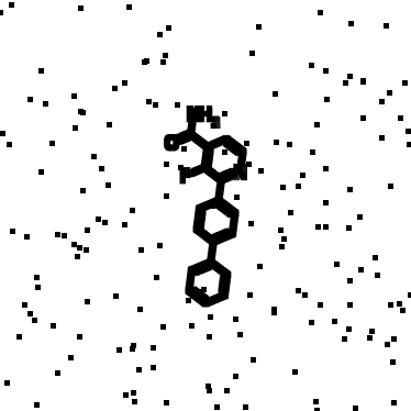 NC(=O)c1ccnc(-c2ccc(-c3ccccc3)cc2)c1F